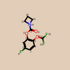 O=C(Oc1cc(F)ccc1OC(F)F)N1CCC1